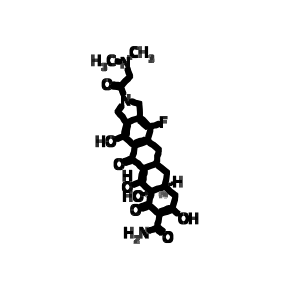 CN(C)CC(=O)N1Cc2c(O)c3c(c(F)c2C1)CC1C[C@H]2CC(O)=C(C(N)=O)C(=O)[C@@]2(O)C(O)=C1C3=O